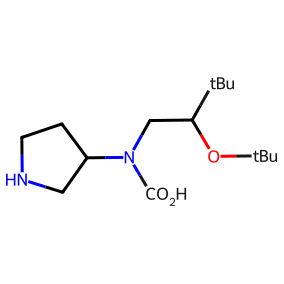 CC(C)(C)OC(CN(C(=O)O)C1CCNC1)C(C)(C)C